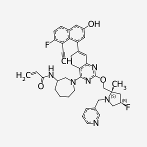 C#Cc1c(F)ccc2cc(O)cc(C3=Cc4nc(OC[C@]5(C)C[C@@H](F)CN5Cc5cccnc5)nc(N5CCCCC(NC(=O)C=C)C5)c4CC3)c12